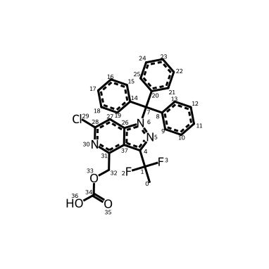 CC(F)(F)c1nn(C(c2ccccc2)(c2ccccc2)c2ccccc2)c2cc(Cl)nc(COC(=O)O)c12